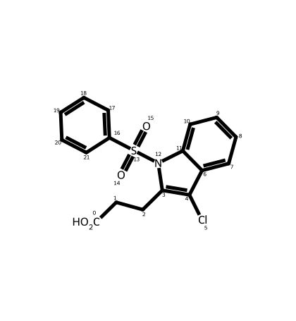 O=C(O)CCc1c(Cl)c2ccccc2n1S(=O)(=O)c1ccccc1